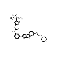 CC(C)(C)c1cc(NC(=O)Nc2cccc(-c3cn4c(n3)sc3cc(OCCN5CCOCC5)ccc34)c2)no1